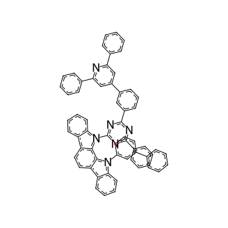 c1ccc(-c2cccc(-n3c4ccccc4c4ccc5c6ccccc6n(-c6nc(-c7ccccc7)nc(-c7cccc(-c8cc(-c9ccccc9)nc(-c9ccccc9)c8)c7)n6)c5c43)c2)cc1